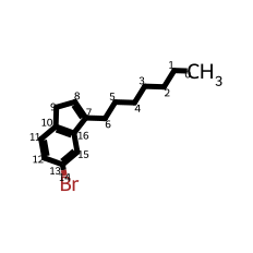 CCCCCCCC1=CCc2ccc(Br)cc21